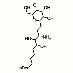 CCCCCCCCCCCCCC[C@@H](O)[C@@H](O)[C@@H](N)CC[C@H]1OC(CO)[C@H](O)[C@H](O)C1O